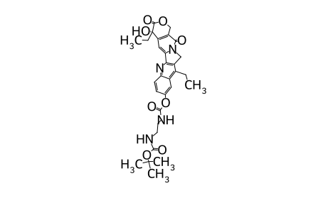 CCc1c2c(nc3ccc(OC(=O)NCCNC(=O)OC(C)(C)C)cc13)-c1cc3c(c(=O)n1C2)COC(=O)[C@]3(O)CC